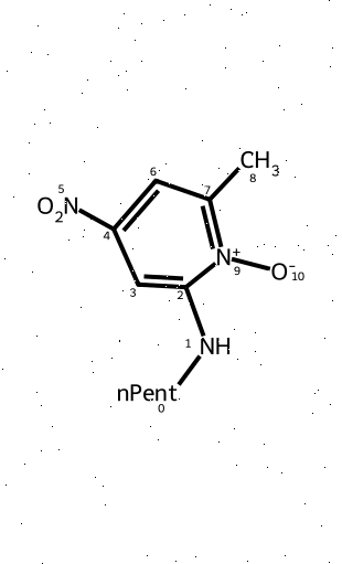 CCCCCNc1cc([N+](=O)[O-])cc(C)[n+]1[O-]